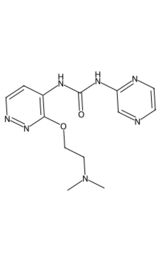 CN(C)CCOc1nnccc1NC(=O)Nc1cnccn1